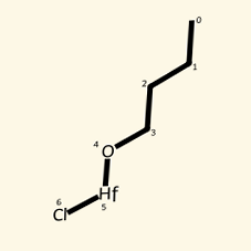 CCCC[O][Hf][Cl]